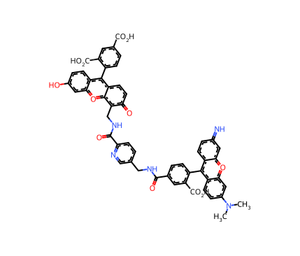 CN(C)c1ccc2c(-c3ccc(C(=O)NCc4ccc(C(=O)NCc5c6oc7cc(O)ccc7c(-c7ccc(C(=O)O)cc7C(=O)O)c-6ccc5=O)nc4)cc3C(=O)O)c3ccc(=N)cc-3oc2c1